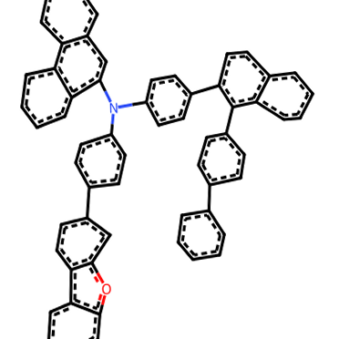 c1ccc(-c2ccc(-c3c(-c4ccc(N(c5ccc(-c6ccc7c(c6)oc6ccccc67)cc5)c5cc6ccccc6c6ccccc56)cc4)ccc4ccccc34)cc2)cc1